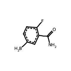 Bc1ccc(F)c(C(N)=O)c1